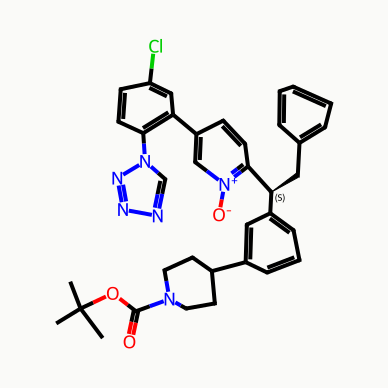 CC(C)(C)OC(=O)N1CCC(c2cccc([C@H](Cc3ccccc3)c3ccc(-c4cc(Cl)ccc4-n4cnnn4)c[n+]3[O-])c2)CC1